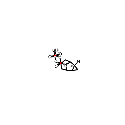 CCOC(=O)N1C2CC(OS(C)(=O)=O)CC1[C@@H]1CC21